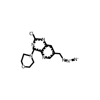 [N-]=[N+]=NCc1cnc2c(N3CCOCC3)nc(Cl)nc2c1